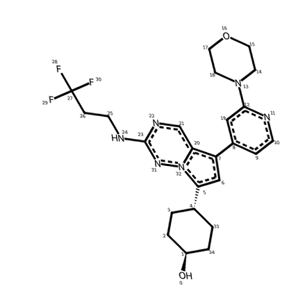 O[C@H]1CC[C@H](c2cc(-c3ccnc(N4CCOCC4)c3)c3cnc(NCCC(F)(F)F)nn32)CC1